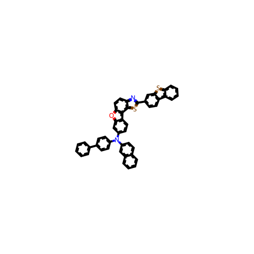 c1ccc(-c2ccc(N(c3ccc4ccccc4c3)c3ccc4c(c3)oc3ccc5nc(-c6ccc7c(c6)sc6ccccc67)sc5c34)cc2)cc1